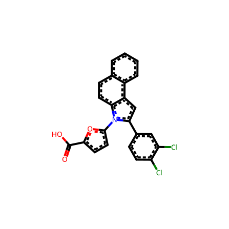 O=C(O)c1ccc(-n2c(-c3ccc(Cl)c(Cl)c3)cc3c4ccccc4ccc32)o1